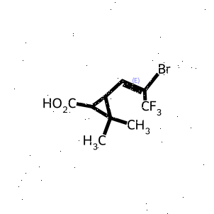 CC1(C)C(/C=C(/Br)C(F)(F)F)C1C(=O)O